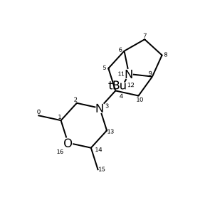 CC1CN(C2CC3CCC(C2)N3C(C)(C)C)CC(C)O1